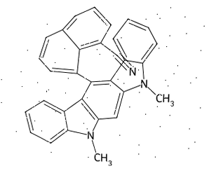 Cn1c2ccccc2c2c(-c3cccc4cccc(C#N)c34)c3c4ccccc4n(C)c3cc21